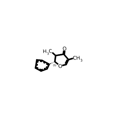 CC1=CO[C@H](c2ccccc2)C(C)C1=O